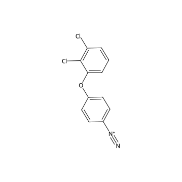 N#[N+]c1ccc(Oc2cccc(Cl)c2Cl)cc1